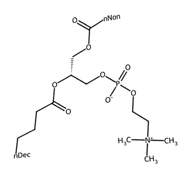 CCCCCCCCCCCCCC(=O)O[C@H](COC(=O)CCCCCCCCC)COP(=O)([O-])OCC[N+](C)(C)C